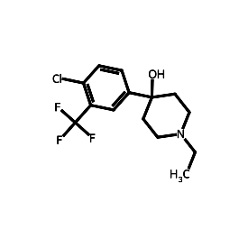 CCN1CCC(O)(c2ccc(Cl)c(C(F)(F)F)c2)CC1